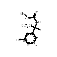 CCOC(=O)C(C)(NC(=O)OC(C)(C)C)c1cncc(Cl)c1